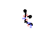 CC(CCNC(=O)C1CCCN1)CC(=O)NCC(=O)C(CCc1ccccc1)OCc1ccccc1